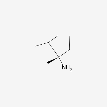 CC[C@](C)(N)C(C)C